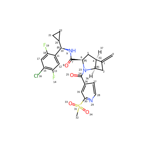 C=C1C[C@@H]2[C@H]1C[C@H](C(=O)N[C@@H](c1cc(F)c(Cl)cc1F)C1CC1)N2C(=O)c1ccnc(S(C)(=O)=O)c1